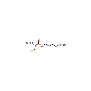 CCCCCCCCCCCCCOC(=O)[C@H](CS)NC(C)=O